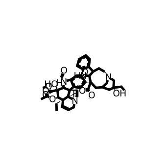 CC[C@]1(O)CC2C[N@](CCC3c4ccccc4NC3[C@@](C(=O)OC)(c3cc4c(cc3OC)N(C=O)[C@H]3[C@@](O)(C(=O)OC)[C@H](OC(C)=O)[C@]5(CC)C=CCN6CC[C@]43[C@@H]65)C2)C1